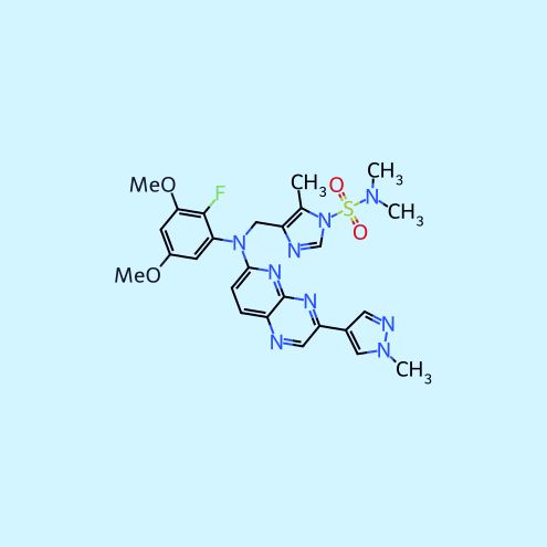 COc1cc(OC)c(F)c(N(Cc2ncn(S(=O)(=O)N(C)C)c2C)c2ccc3ncc(-c4cnn(C)c4)nc3n2)c1